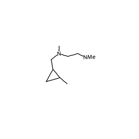 CNCCN(C)CC1CC1C